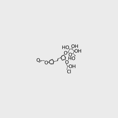 OC[C@H]1O[C@@H](Oc2cc(/C=C/c3ccc(OCC4CO4)cc3)cc(OCC(O)CCl)c2)[C@H](O)[C@@H](O)[C@@H]1O